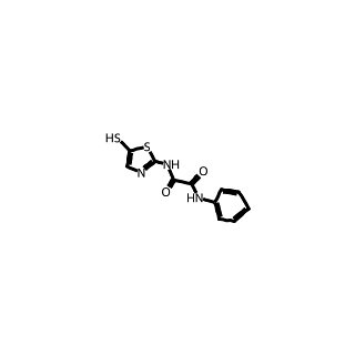 O=C(Nc1ccccc1)C(=O)Nc1ncc(S)s1